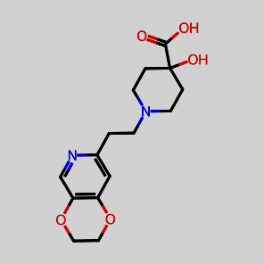 O=C(O)C1(O)CCN(CCc2cc3c(cn2)OCCO3)CC1